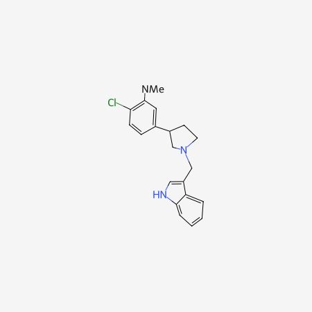 CNc1cc(C2CCN(Cc3c[nH]c4ccccc34)C2)ccc1Cl